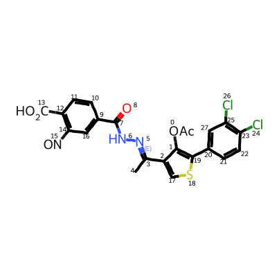 CC(=O)Oc1c(/C(C)=N/NC(=O)c2ccc(C(=O)O)c(N=O)c2)csc1-c1ccc(Cl)c(Cl)c1